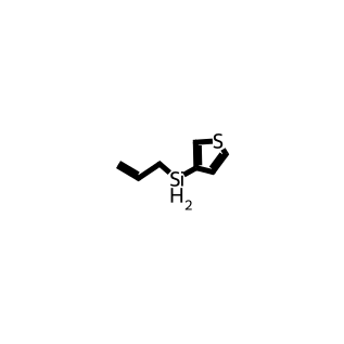 C=CC[SiH2]c1ccsc1